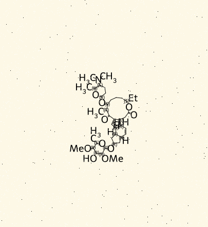 CC[C@H]1CCC[C@H](O[C@H]2CC[C@H](N(C)C)[C@@H](C)O2)[C@@H](C)C(=O)C2=C[C@@H]3[C@@H](C=C[C@@H]4C[C@@H](O[C@@H]5O[C@@H](C)[C@H](OC)[C@@H](O)[C@H]5OC)C[C@@H]34)[C@@H]2CC(=O)O1